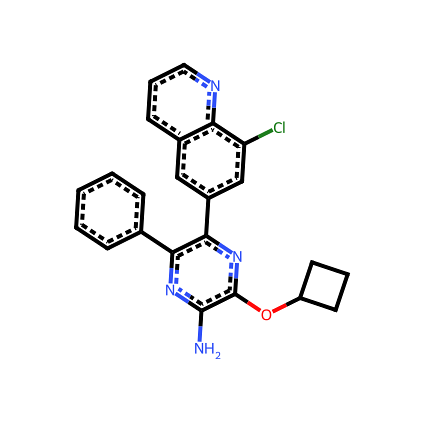 Nc1nc(-c2ccccc2)c(-c2cc(Cl)c3ncccc3c2)nc1OC1CCC1